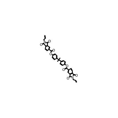 C=CCN1C(=O)c2ccc(C(=O)Oc3ccc(C(C)(C)c4ccc(OC(=O)c5ccc6c(c5)C(=O)N(CC=C)C6=O)cc4)cc3)cc2C1=O